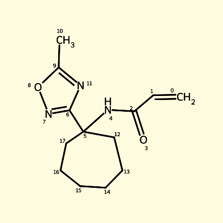 C=CC(=O)NC1(c2noc(C)n2)CCCCCC1